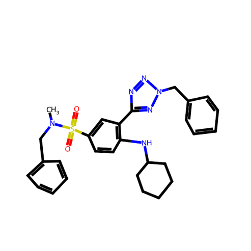 CN(Cc1ccccc1)S(=O)(=O)c1ccc(NC2CCCCC2)c(-c2nnn(Cc3ccccc3)n2)c1